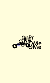 CCCC(=O)NC[C@@H](OC(=O)/C=C/c1ccccc1)c1ccc(OC)c(OC)c1